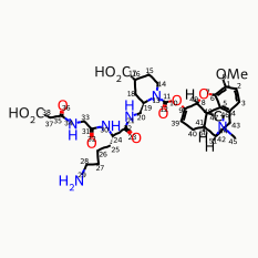 COc1ccc2c3c1O[C@H]1C(OC(=O)N4CCC(C(=O)O)C[C@@H]4CNC(=O)[C@H](CCCCN)NC(=O)CNC(=O)CC(=O)O)=CC[C@H]4[C@@H](C2)N(C)CC[C@]314